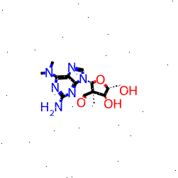 CN(C)c1nc(N)nc2c1ncn2[C@@H]1O[C@H](CO)[C@@H](O)[C@@]1(C)C=O